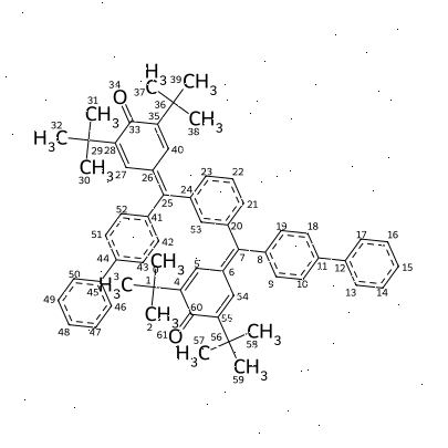 CC(C)(C)C1=CC(=C(c2ccc(-c3ccccc3)cc2)c2cccc(C(=C3C=C(C(C)(C)C)C(=O)C(C(C)(C)C)=C3)c3ccc(-c4ccccc4)cc3)c2)C=C(C(C)(C)C)C1=O